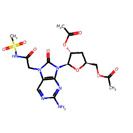 CC(=O)OC[C@@H]1C[C@@H](OC(C)=O)[C@H](n2c(=O)n(CC(=O)NS(C)(=O)=O)c3cnc(N)nc32)O1